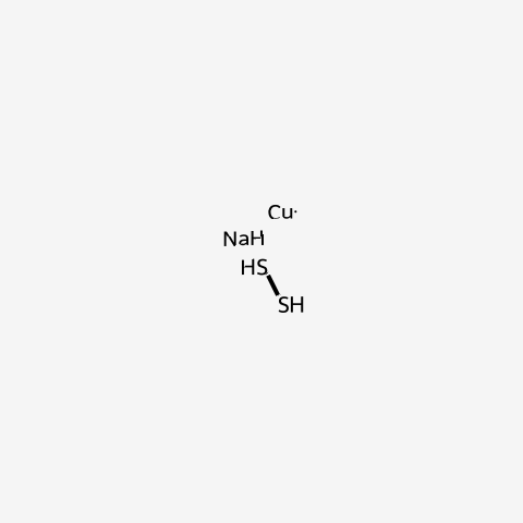 SS.[Cu].[NaH]